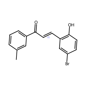 Cc1cccc(C(=O)/C=C/c2cc(Br)ccc2O)c1